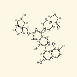 CCc1c(F)ccc2cc(O)cc(-c3ncc4c(N5CCC6(CCCC6=O)CC5)nc(OC[C@@]56CCCN5C[C@H](C)C6)nc4c3F)c12